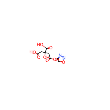 O=C(O)CC(O)(CC(=O)O)C(=O)O.c1conn1